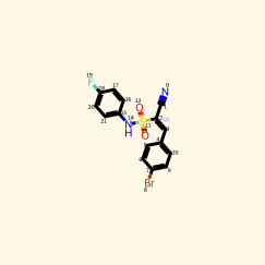 N#C/C(=C/c1ccc(Br)cc1)S(=O)(=O)Nc1ccc(F)cc1